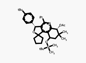 CC(=O)O[C@H]1c2nc(C(C)C)c3c(c2C(O[Si](C)(C)C(C)(C)C)CC1(C)C)C1(CCCC1)O[C@@H]3c1ccc(C(C)(C)C)cc1